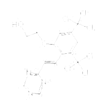 OCCOc1cc(C(Cl)(Cl)Cl)cc(C(Cl)(Cl)Cl)c1C=Cc1ncncn1